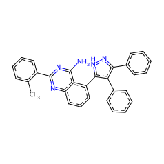 Nc1nc(-c2ccccc2C(F)(F)F)nc2cccc(-c3[nH]nc(-c4ccccc4)c3-c3ccccc3)c12